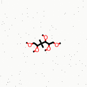 COCC(OC)C(OC)C(C)(C)C(COC)OC